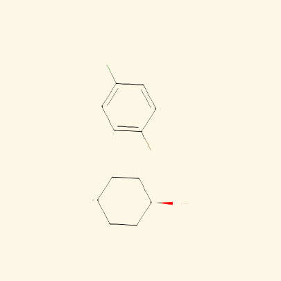 O[C@H]1CCCC[C@@H]1Sc1ccc(F)cc1